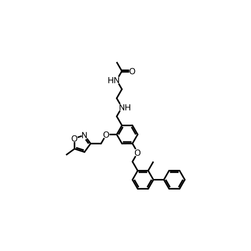 CC(=O)NCCNCc1ccc(OCc2cccc(-c3ccccc3)c2C)cc1OCc1cc(C)on1